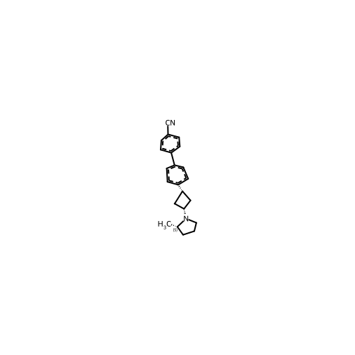 C[C@H]1CCCN1[C@H]1C[C@@H](c2ccc(-c3ccc(C#N)cc3)cc2)C1